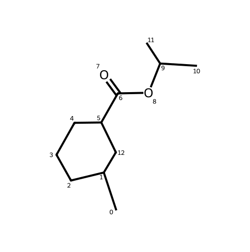 CC1CCCC(C(=O)OC(C)C)C1